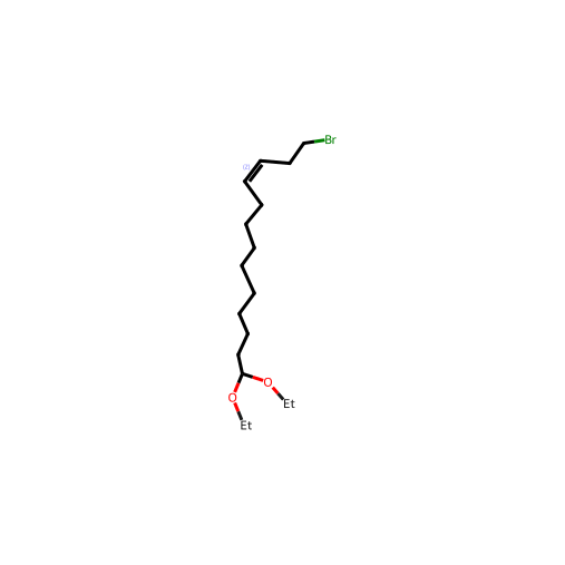 CCOC(CCCCCCCC/C=C\CCBr)OCC